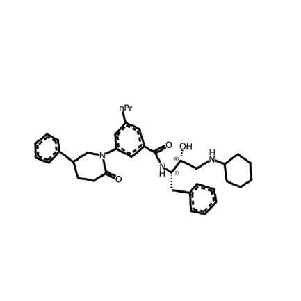 CCCc1cc(C(=O)N[C@@H](Cc2ccccc2)[C@H](O)CNC2CCCCC2)cc(N2CC(c3ccccc3)CCC2=O)c1